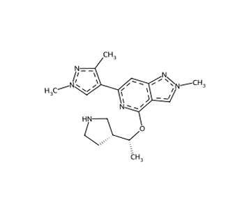 Cc1nn(C)cc1-c1cc2nn(C)cc2c(O[C@H](C)[C@@H]2CCNC2)n1